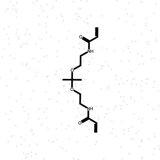 C=CC(=O)NCCOC(C)(C)OCCNC(=O)C=C